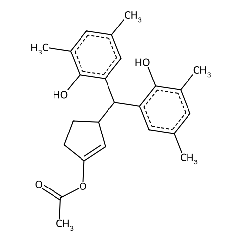 CC(=O)OC1=CC(C(c2cc(C)cc(C)c2O)c2cc(C)cc(C)c2O)CC1